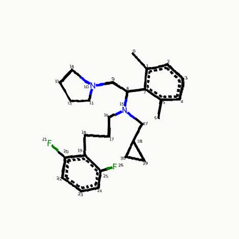 Cc1cccc(C)c1C(CN1CCCC1)N(CCCc1c(F)cccc1F)CC1CC1